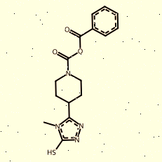 Cn1c(S)nnc1C1CCN(C(=O)OC(=O)c2ccccc2)CC1